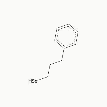 [SeH]CCCc1ccccc1